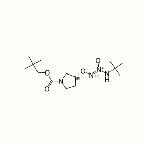 CC(C)(C)COC(=O)N1CC[C@@H](O/N=[N+](\[O-])NC(C)(C)C)C1